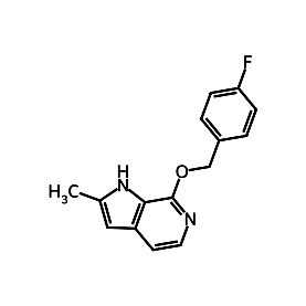 Cc1cc2ccnc(OCc3ccc(F)cc3)c2[nH]1